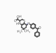 CC1(C)CC2=C(SCC(C(=O)O)N2)/C(=N/c2ccc(C(=O)c3ccccc3)cc2)C1